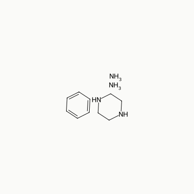 C1CNCCN1.N.N.c1ccccc1